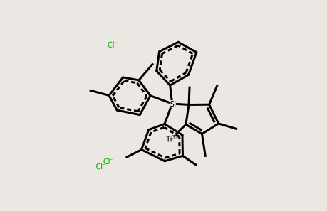 CC1=C(C)C(C)([Si](c2ccccc2)(c2cc(C)cc(C)c2)c2ccc(C)cc2C)[C]([Ti+3])=C1C.[Cl-].[Cl-].[Cl-]